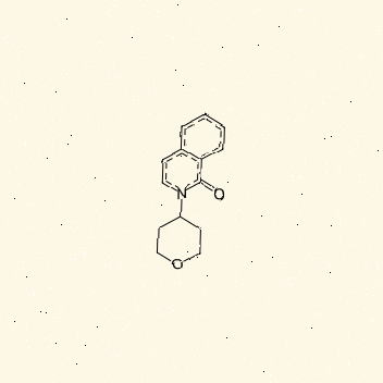 O=c1c2ccccc2ccn1C1CCOCC1